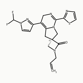 C=CCN1C[C@@]2(CC3=C(c4ccn(C(F)F)n4)CN=C(c4nccs4)N3C2)C1=O